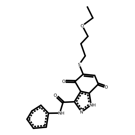 CCOCCCSC1=CC(=O)c2[nH]nc(C(=O)Nc3ccccc3)c2C1=O